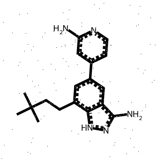 CC(C)(C)CCc1cc(-c2ccnc(N)c2)cc2c(N)n[nH]c12